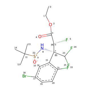 CCOC(=O)[C@H](F)[C@](N[S@+]([O-])C(C)(C)C)(c1cc(Br)ccc1F)C(F)F